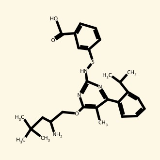 Cc1c(OCC(N)CC(C)(C)C)nc(NSc2cccc(C(=O)O)c2)nc1-c1ccccc1C(C)C